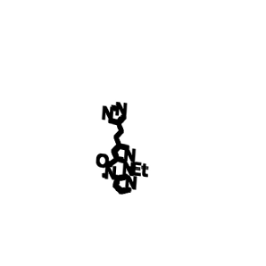 CCN1c2ncc(CCc3cncnc3)cc2C(=O)N(C)c2cccnc21